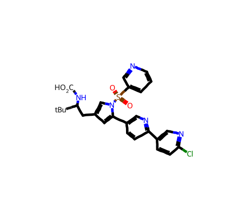 CC(C)(C)C(Cc1cc(-c2ccc(-c3ccc(Cl)nc3)nc2)n(S(=O)(=O)c2cccnc2)c1)NC(=O)O